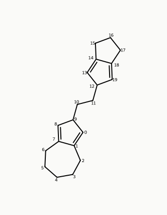 C1=C2CCCCCC2=CC1CCC1C=C2CCCC2=C1